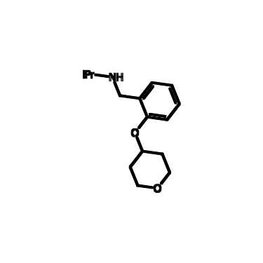 CC(C)NCc1ccccc1OC1CCOCC1